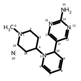 CN1CCC(N2C=CC=CC2c2cnc(N)nc2)CC1.[N]